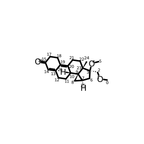 COC[C@]1(OC)C[C@H]2C[C@]23[C@@H]2CCC4=CC(=O)CCC4=C2CC[C@]13C